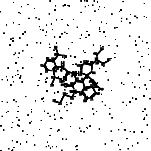 CC#CC1(c2c(NC(=O)Nc3c(C(C)C)cccc3C(C)C)c(=O)n(CCCC)c3ncccc23)C=CC=C(N(CC)CC)C1